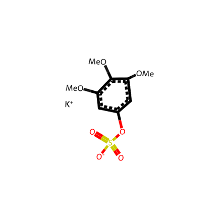 COc1cc(OS(=O)(=O)[O-])cc(OC)c1OC.[K+]